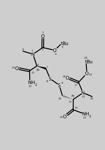 CN(C(=O)OC(C)(C)C)[C@@H](CSSC[C@@H](C(N)=O)N(C)C(=O)OC(C)(C)C)C(N)=O